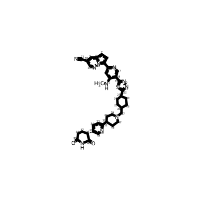 CNc1cc(-c2ccc3cc(C#N)cnn23)ncc1-c1nnc(C2CCC(CN3CCC(c4ccc([C@H]5CCC(=O)NC5=O)cn4)CC3)CC2)s1